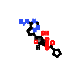 Nc1ncnn2c([C@@H]3O[C@@H]4C(OC(=O)C5CCCC5)[C@]4(O)[C@H]3O)ccc12